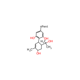 CCCCCc1cc(O)c(C2C=C(C)C(O)CC2C(C)(C)O)c(O)c1